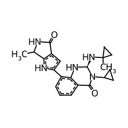 CC1NC(=O)c2cc(-c3cccc4c3N[C@@H](NC3(C)CC3)N(C3CC3)C4=O)[nH]c21